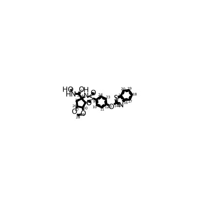 O=C(NO)C1(NS(=O)(=O)c2ccc(Oc3nc4ccccc4s3)cc2)CC2OCOC2C1